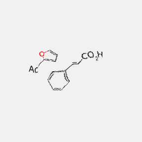 CC(=O)c1ccco1.O=C(O)C=Cc1ccccc1